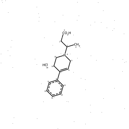 CC(CC(=O)O)N1CC=C(c2ccccc2)CC1.Cl